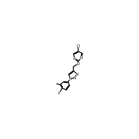 Cc1cc(-n2cc(COc3ncc(Cl)cn3)nn2)ccc1F